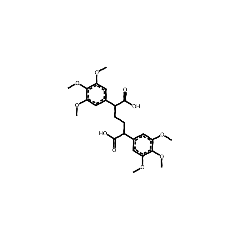 COc1cc(C(CCC(C(=O)O)c2cc(OC)c(OC)c(OC)c2)C(=O)O)cc(OC)c1OC